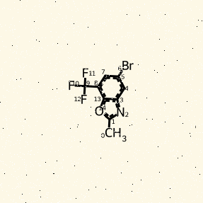 Cc1nc2cc(Br)cc(C(F)(F)F)c2o1